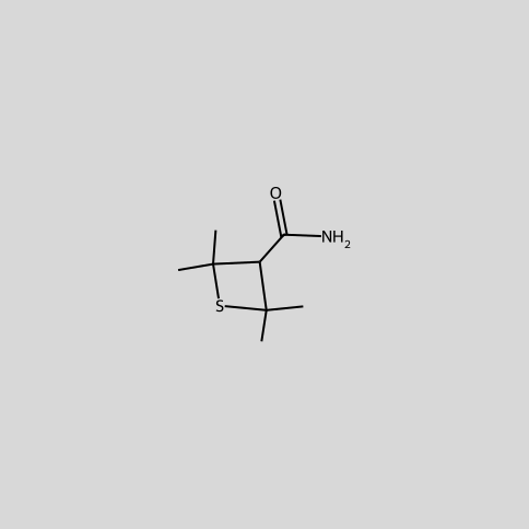 CC1(C)SC(C)(C)C1C(N)=O